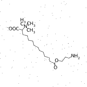 C[N+](C)(C)C(CCCCCCCCCCCC(=O)OCCCN)C(=O)[O-]